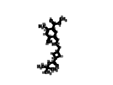 COC(=O)C1=C/C(=C/NCC2CN(C(=O)OC(C)(C)C)C2)C(=N)C=C1C